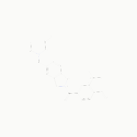 C=Cc1ccc(C(=C)N2Cc3ccc(CN(CC)CCC)cc3C2)cc1C(C)C